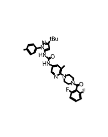 Cc1ccc(-n2nc(C(C)(C)C)cc2NC(=O)Nc2cnc(N3CCN(C(=O)c4c(F)cccc4F)CC3)c(C)c2)cc1